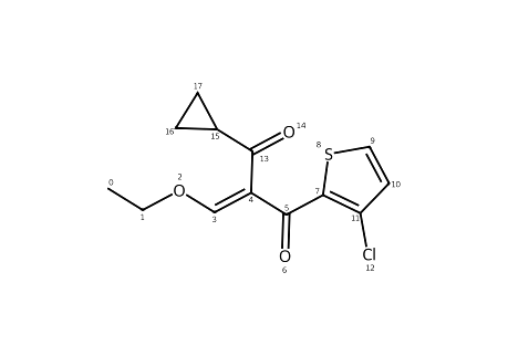 CCOC=C(C(=O)c1sccc1Cl)C(=O)C1CC1